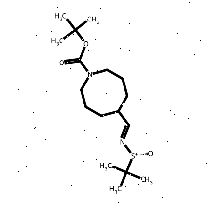 CC(C)(C)OC(=O)N1CCCC(/C=N/[S@+]([O-])C(C)(C)C)CCC1